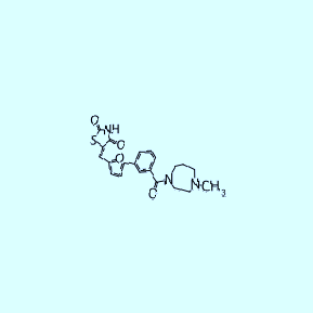 CN1CCCN(C(=O)c2cccc(-c3ccc(C=C4SC(=O)NC4=O)o3)c2)CC1